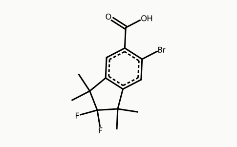 CC1(C)c2cc(Br)c(C(=O)O)cc2C(C)(C)C1(F)F